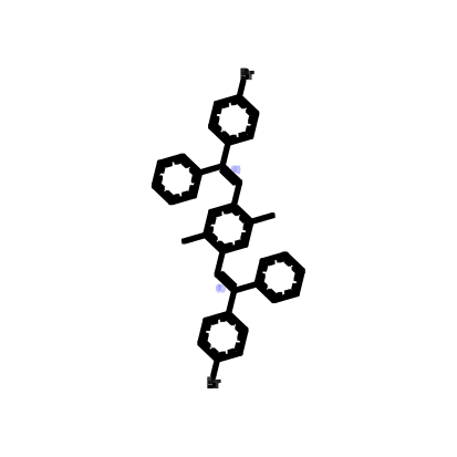 Cc1cc(/C=C(\c2ccccc2)c2ccc(Br)cc2)c(C)cc1/C=C(\c1ccccc1)c1ccc(Br)cc1